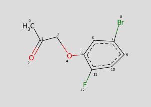 CC(=O)COc1cc(Br)ccc1F